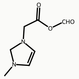 CN1C=CN(CC(=O)OC=O)C1